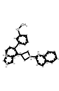 COc1cccc(-c2ccn3cncc3c2C2CN(c3ccc4ccccc4n3)C2)c1